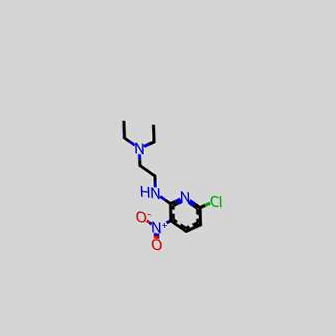 CCN(CC)CCNc1nc(Cl)ccc1[N+](=O)[O-]